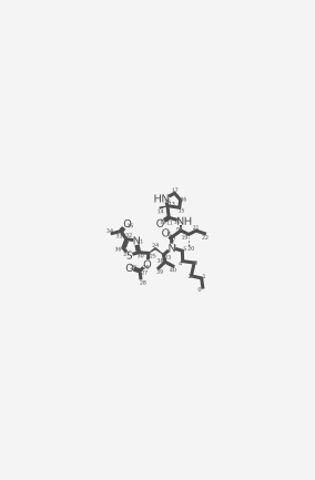 CCCCCCN(C(=O)[C@@H](NC(=O)[C@@]1(C)CCCN1)[C@@H](C)CC)[C@H](C[C@@H](OC(C)=O)c1nc(C(C)=O)cs1)C(C)C